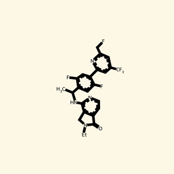 CCN1Cc2c(ccnc2NC(C)c2cc(F)c(-c3cc(C(F)(F)F)cc(CF)n3)cc2F)C1=O